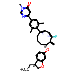 C=C1/C(F)=C\C=C(\c2c(C)cc(-c3cc(=O)n(C)cn3)cc2C)CCC[C@H]1Oc1ccc2c(c1)OC[C@H]2CC(=O)O